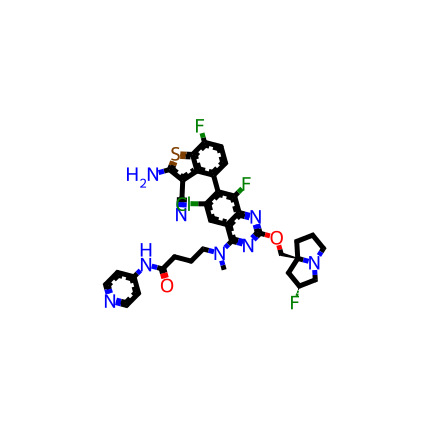 CN(CCCC(=O)Nc1ccncc1)c1nc(OC[C@@]23CCCN2C[C@H](F)C3)nc2c(F)c(-c3ccc(F)c4sc(N)c(C#N)c34)c(Cl)cc12